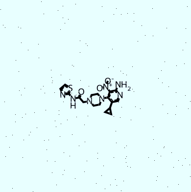 Nc1ncc(C2CC2)c(N2CCN(CC(=O)Nc3nccs3)CC2)c1[N+](=O)[O-]